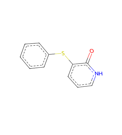 O=c1[nH]cccc1Sc1ccccc1